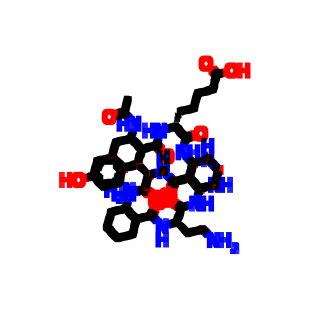 CC(=O)NC1CCCCC1C(=O)N[C@H](CCCCC(=O)O)C(=O)NC1CCNCC1C(=O)N[C@H](Cc1ccc(O)cc1)C(=O)NC1CCCCC1C(=O)N[C@H](CCN)C(=O)NC1CCNCC1C(=O)N[C@H](C)C(N)=O